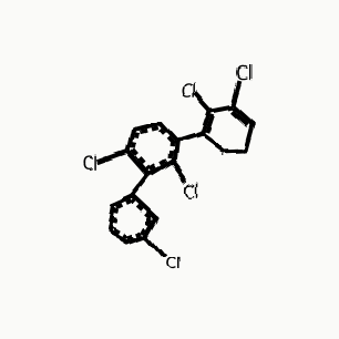 ClC1=CC[CH]C(c2ccc(Cl)c(-c3cccc(Cl)c3)c2Cl)=C1Cl